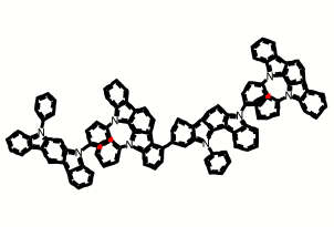 c1ccc(-n2c3ccccc3c3cc4c5ccccc5n(-c5ccc(-n6c7ccccc7c7ccc8c9c(-c%10ccc%11c%12ccc%13c(c%14ccccc%14n%13-c%13ccc(-n%14c%15ccccc%15c%15ccc%16c%17ccccc%17n(-c%17ccccc%17)c%16c%15%14)cc%13)c%12n(-c%12ccccc%12)c%11c%10)cccc9n(-c9ccccc9)c8c76)cc5)c4cc32)cc1